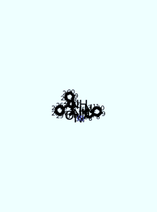 O=C(N/N=C\c1cc2ccccc2nc1Cl)c1[nH]c2ccccc2c1-c1ccccc1